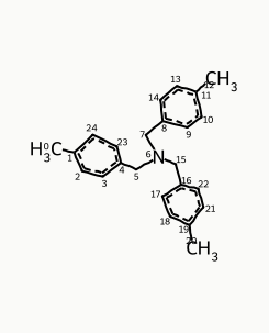 Cc1ccc(CN(Cc2ccc(C)cc2)Cc2ccc(C)cc2)cc1